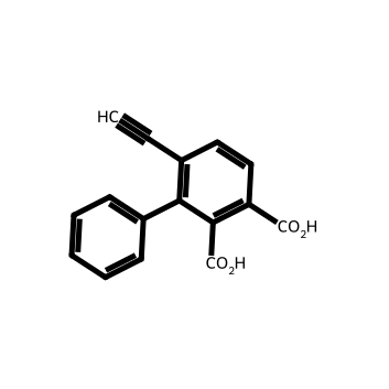 C#Cc1ccc(C(=O)O)c(C(=O)O)c1-c1ccccc1